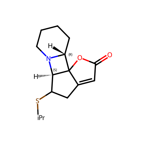 CC(C)SC1CC2=CC(=O)OC23[C@H]2CCCCN2[C@H]13